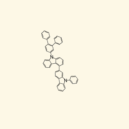 c1ccc(-c2ccc(-n3c4ccccc4c4c(-c5ccc6c7ccccc7n(-c7ccccc7)c6c5)cccc43)cc2-c2ccccc2)cc1